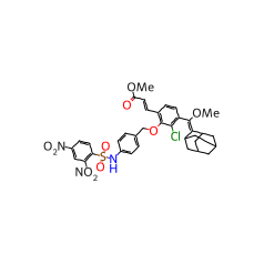 COC(=O)/C=C/c1ccc(C(OC)=C2C3CC4CC(C3)CC2C4)c(Cl)c1OCc1ccc(NS(=O)(=O)c2ccc([N+](=O)[O-])cc2[N+](=O)[O-])cc1